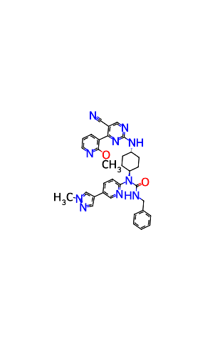 COc1ncccc1-c1nc(N[C@H]2CC[C@H](N(C(=O)NCc3ccccc3)c3ccc(-c4cnn(C)c4)cn3)CC2)ncc1C#N